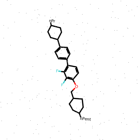 CCCCCC1CCC(COc2ccc(-c3ccc(C4CCC(CCC)CC4)cc3)c(F)c2F)CC1